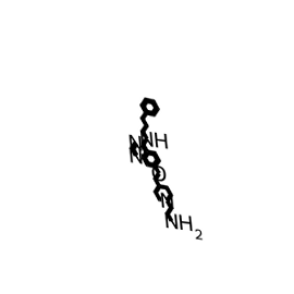 NCCN1CCC(COc2ccc3c(NCCCc4ccccc4)ncnc3c2)CC1